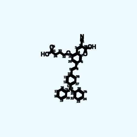 N#C/C(=C/c1ccc(/C=C/c2ccc(N(c3ccccc3)c3ccccc3)cc2)cc1OCCCC(=O)O)C(=O)O